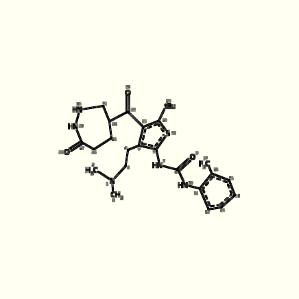 CN(C)CCc1c(NC(=O)Nc2ccccc2C(F)(F)F)sc(C(C)(C)C)c1C(=O)C1CCC(=O)NNC1